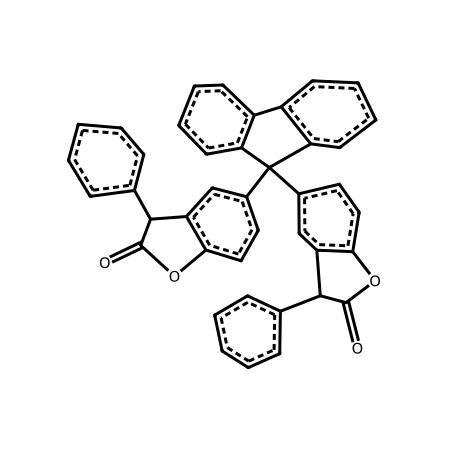 O=C1Oc2ccc(C3(c4ccc5c(c4)C(c4ccccc4)C(=O)O5)c4ccccc4-c4ccccc43)cc2C1c1ccccc1